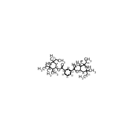 CCC1(C)CC(OC(=O)c2cccc(C(=O)OC3CC(C)(CC)NC(C)(CC)C3C)c2)C(C)C(C)(CC)N1